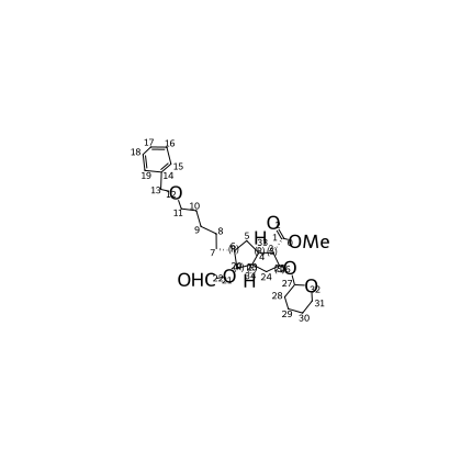 COC(=O)[C@H]1[C@@H]2C[C@@H](CCCCCOCc3ccccc3)[C@@H](OC=O)[C@@H]2C[C@@H]1OC1CCCCO1